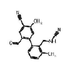 Cc1cc(-c2cccc(C)c2CNC#N)c(C=O)cc1C#N